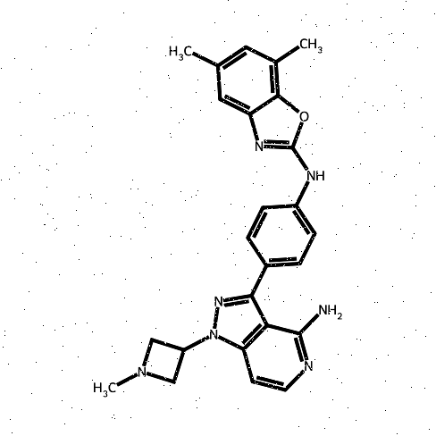 Cc1cc(C)c2oc(Nc3ccc(-c4nn(C5CN(C)C5)c5ccnc(N)c45)cc3)nc2c1